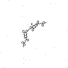 CCOC(=O)CCC(=O)c1cc2cc(OCCCOc3c(OC)cc4c(c3F)CN(C(=O)CCC(=O)OCC)C4)c(OC)cc2s1